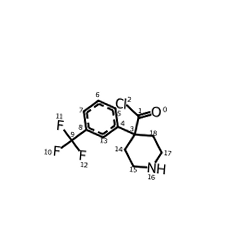 O=C(Cl)C1(c2cccc(C(F)(F)F)c2)CCNCC1